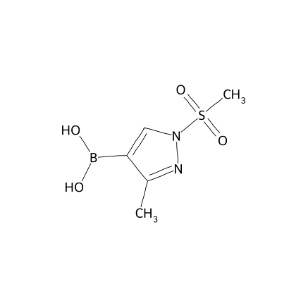 Cc1nn(S(C)(=O)=O)cc1B(O)O